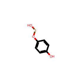 OSOc1ccc(O)cc1